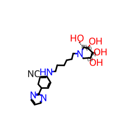 N#CC1=C(NCCCCCCN2C[C@H](O)[C@@H](O)[C@H](O)[C@H]2CO)C=CC(c2ncccn2)C1